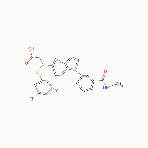 CNC(=O)c1cccc(-n2ccc3cc(N(CC(=O)O)Sc4cc(Cl)cc(Cl)c4)ccc32)c1